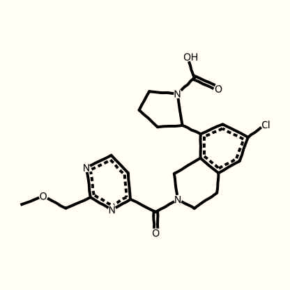 COCc1nccc(C(=O)N2CCc3cc(Cl)cc(C4CCCN4C(=O)O)c3C2)n1